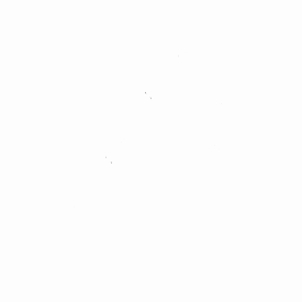 C=C(NCC(=O)OCC)c1nc(Cl)c2c(sc3ccccc32)c1C